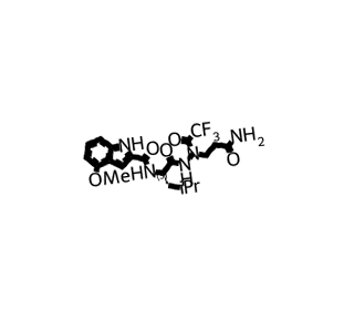 COc1cccc2[nH]c(C(=O)N[C@@H](CC(C)C)C(=O)NN(CCC(N)=O)C(=O)C(F)(F)F)cc12